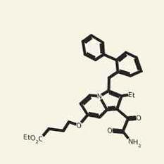 CCOC(=O)CCCOc1ccn2c(Cc3ccccc3-c3ccccc3)c(CC)c(C(=O)C(N)=O)c2c1